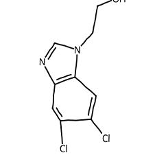 OCCn1cnc2cc(Cl)c(Cl)cc21